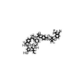 CCC(C)(C)[C@H](NC(=O)CN1CCN(CC2(Cc3ccc(C(=O)N[C@H]4C(C)(C)[C@H](Oc5ccc(C#N)c(C(F)(F)F)c5)C4(C)C)cc3)COC2)CC1)C(=O)N1C[C@H](O)C[C@H]1C(=O)N[C@@H](C)c1ccc(-c2scnc2C)cc1